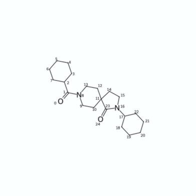 O=C(C1CCCCC1)N1CCC2(CC1)CCN(C1CCCCC1)C2=O